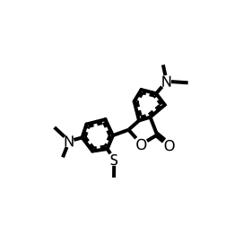 CSc1cc(N(C)C)ccc1C1OC(=O)c2cc(N(C)C)ccc21